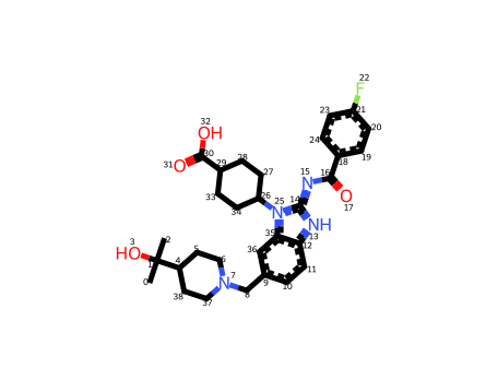 CC(C)(O)C1CCN(Cc2ccc3[nH]/c(=N\C(=O)c4ccc(F)cc4)n(C4CCC(C(=O)O)CC4)c3c2)CC1